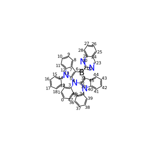 c1ccc(N2c3c(c4ccccc4n3-c3ccccc3)B(c3ncc4ccccc4n3)c3c2n(-c2ccccc2)c2ccccc32)cc1